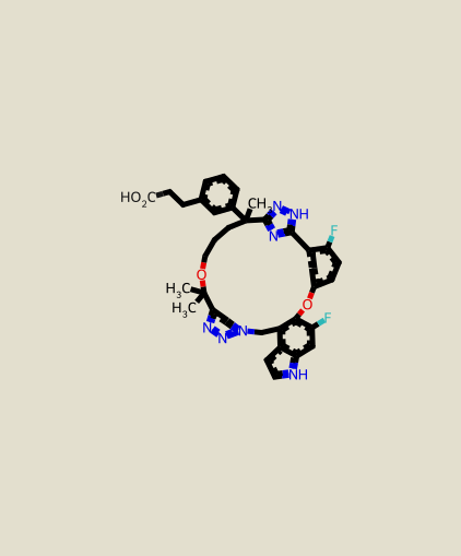 CC1(C)OCCCC(C)(c2cccc(CCC(=O)O)c2)c2n[nH]c(n2)-c2cc(ccc2F)Oc2c(F)cc3[nH]ccc3c2Cn2cc1nn2